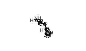 N=C(N)c1ccc(OC(=O)c2csc(CCC(=O)N[C@@H](CC(=O)OC(=O)C(F)(F)F)C(=O)O)c2)c(F)c1